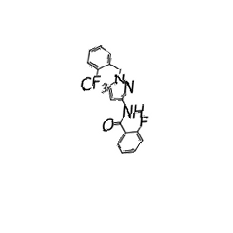 O=C(Nc1ccn(Cc2ccccc2C(F)(F)F)n1)c1ccccc1F